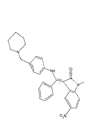 CN1C(=O)/C(=C(\Nc2ccc(CN3CCCCC3)cc2)c2ccccc2)c2cc([N+](=O)[O-])ccc21